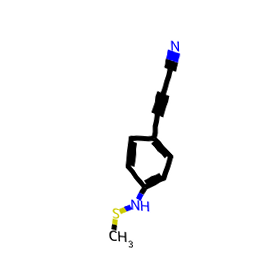 CSNc1ccc(C#CC#N)cc1